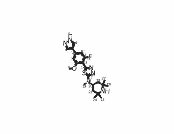 COc1cc(-c2cn[nH]c2)cc(F)c1-c1nnc(N(C)C2CC(C)(C)NC(C)(C)C2)s1